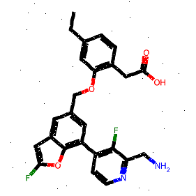 CCc1ccc(CC(=O)O)c(OCc2cc(-c3ccnc(CN)c3F)c3oc(F)cc3c2)c1